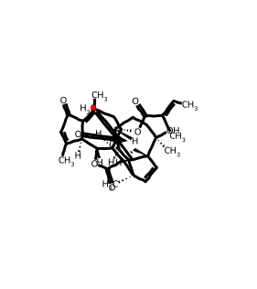 C=C1C(=O)O[C@@H]2[C@@H]3[C@@]4(C=C[C@@]3(C)[C@@]3(C4)C(=O)O[C@@H]4[C@H]5C(C)=CC(=O)C5=C(C)C[C@H](OC(=O)/C(C)=C/C)[C@H]43)[C@](C)(O)CC[C@@H]12